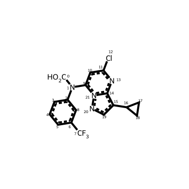 O=C(O)N(c1cccc(C(F)(F)F)c1)c1cc(Cl)nc2c(C3CC3)cnn12